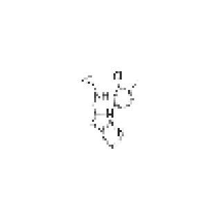 Cc1ccc(-n2c(CNC3CC3)cc3cccnc32)cc1Cl